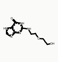 O=c1[nH]c(NCCOCCO)nc2nc[nH]c12